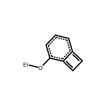 CCOc1cccc2c1=CC=2